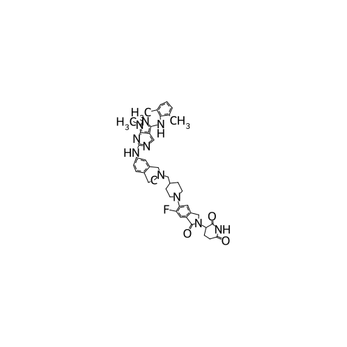 Cc1cccc(C)c1Nc1nn(C)c2nc(Nc3ccc4c(c3)CN(CC3CCN(c5cc6c(cc5F)C(=O)N(C5CCC(=O)NC5=O)C6)CC3)CC4)ncc12